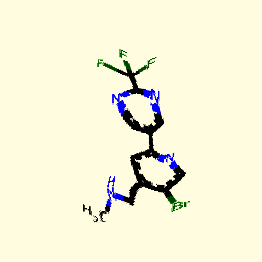 CNCc1cc(-c2cnc(C(F)(F)F)nc2)ncc1Br